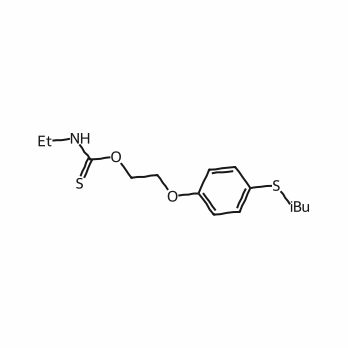 CCNC(=S)OCCOc1ccc(SC(C)CC)cc1